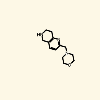 c1cc2c(nc1CN1CCOCC1)CCNC2